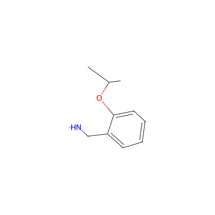 CC(C)Oc1ccccc1C[NH]